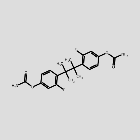 CC(C)(c1ccc(OC(N)=O)cc1F)C(C)(C)c1ccc(OC(N)=O)cc1F